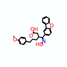 COc1ccc(CCCC(CC(=O)O)/C(=N\O)c2ccc3oc4ccccc4c3c2)cc1